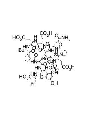 CC[C@H](C)[C@H](NC(=O)[C@@H]1CCCN1C(=O)[C@@H](NC(=O)[C@H](CCC(=O)O)NC(=O)[C@H](CCC(=O)O)NC(=O)[C@H](Cc1ccc(OP(=O)(O)O)cc1)NC(=O)[C@H](CCC(N)=O)NC(=O)[C@@H]1CCCN1C(=O)[C@@H](N)CCC(=O)O)[C@@H](C)CC)C(=O)N[C@@H](Cc1ccc(O)cc1)C(=O)N[C@@H](CC(C)C)C(=O)O